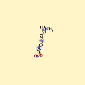 CN(C)c1ccc(-c2cccc(CNCC3CCN(c4nccc(/C=C5\SC(=O)NC5=O)n4)CC3)c2)cn1